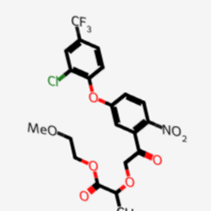 COCCOC(=O)C(C)OCC(=O)c1cc(Oc2ccc(C(F)(F)F)cc2Cl)ccc1[N+](=O)[O-]